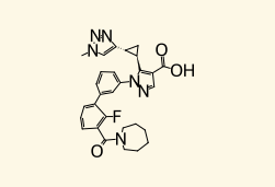 Cn1cc([C@@H]2C[C@H]2c2c(C(=O)O)cnn2-c2cccc(-c3cccc(C(=O)N4CCCCCC4)c3F)c2)nn1